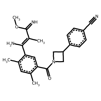 COC(=N)/C(C)=C(\N)c1cc(C(=O)N2CC(c3ccc(C#N)cc3)C2)c(C)cc1C